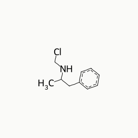 CC(Cc1ccccc1)NCCl